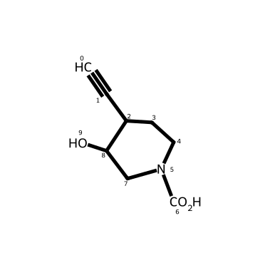 C#CC1CCN(C(=O)O)CC1O